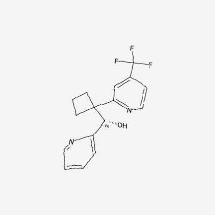 O[C@H](c1ccccn1)C1(c2cc(C(F)(F)F)ccn2)CCC1